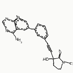 CN1CCC(O)(C#Cc2cccc(-c3cnc4ncnc(N)c4c3)c2)C1=O